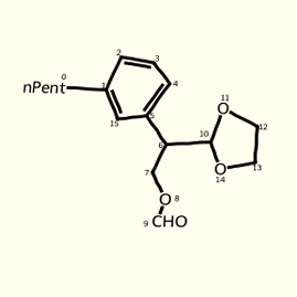 CCCCCc1cccc(C(COC=O)C2OCCO2)c1